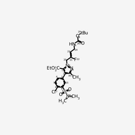 CCOC(=O)c1c(-c2ccc(Cl)c(S(=O)(=O)N(C)C)c2)c(C)nn1C/C(F)=C/CNC(=O)OC(C)(C)C